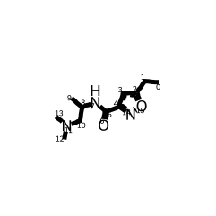 CCc1cc(C(=O)NC(C)CN(C)C)no1